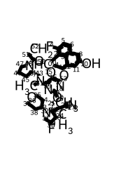 C#Cc1c(F)ccc2cc(O)cc(C3COc4c(nc(OC[C@]5(C(C)(C)C#N)C[C@@H](F)CN5C5CCOCC5)nc4N(C)C[C@@H]4CCCN4C(=O)C=C)O3)c12